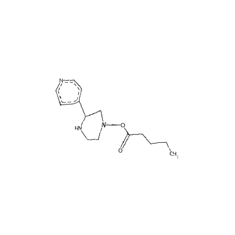 CCCCC(=O)ON1CCNC(c2ccncc2)C1